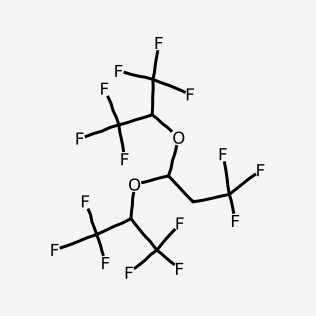 FC(F)(F)CC(OC(C(F)(F)F)C(F)(F)F)OC(C(F)(F)F)C(F)(F)F